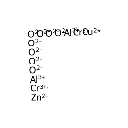 [Al+3].[Al+3].[Cr+3].[Cr+3].[Cu+2].[O-2].[O-2].[O-2].[O-2].[O-2].[O-2].[O-2].[O-2].[Zn+2]